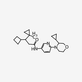 CC1(C(CC(=O)Nc2ccc(N3CCOCC3C3CC3)nc2)C2CCC2)CC1